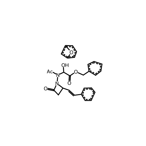 CC(=O)N(C(O)C(=O)OCc1ccccc1)N1C(=O)CC1C=Cc1ccccc1.c1cc2cc(c1)O2